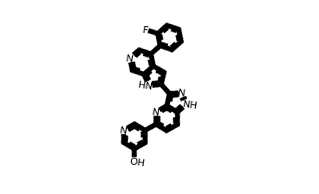 Oc1cncc(-c2ccc3[nH]nc(-c4cc5c(-c6ccccc6F)cncc5[nH]4)c3n2)c1